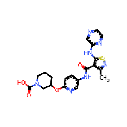 Cc1nsc(Nc2cnccn2)c1C(=O)Nc1ccc(OC2CCCN(C(=O)O)C2)nc1